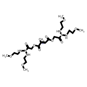 COCCNN(NCCOC)C(=O)COC(=O)/C=C(\C)C(=O)OCC(=O)N(NCCOC)NCCOC